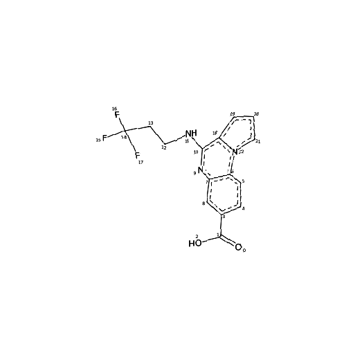 O=C(O)c1ccc2c(c1)nc(NCCC(F)(F)F)c1cccn12